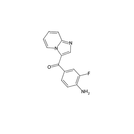 Nc1ccc(C(=O)c2cnc3ccccn23)cc1F